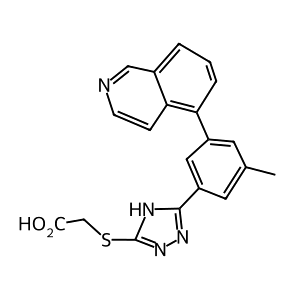 Cc1cc(-c2nnc(SCC(=O)O)[nH]2)cc(-c2cccc3cnccc23)c1